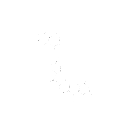 C=C(c1ccc(NSc2cccc3cccnc23)cc1)N1CCN(C(C)c2ccc(F)c(Cl)c2)CC1